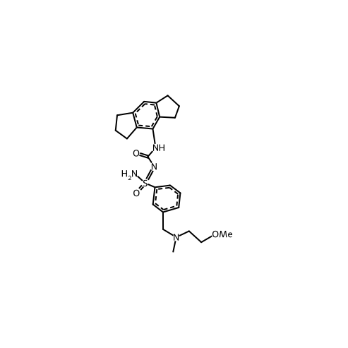 COCCN(C)Cc1cccc(S(N)(=O)=NC(=O)Nc2c3c(cc4c2CCC4)CCC3)c1